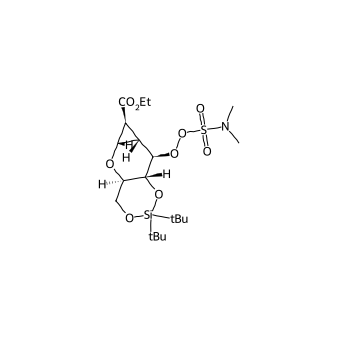 CCOC(=O)[C@@H]1[C@H]2O[C@@H]3CO[Si](C(C)(C)C)(C(C)(C)C)O[C@H]3[C@H](OOS(=O)(=O)N(C)C)[C@H]21